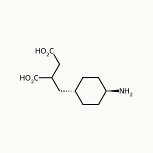 N[C@H]1CC[C@H](CC(CC(=O)O)C(=O)O)CC1